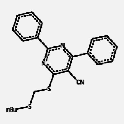 CCCCSCSc1nc(-c2ccccc2)nc(-c2ccccc2)c1C#N